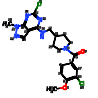 COc1ccc(C(=O)N2CCC(CNc3nc(Cl)nc4c3cnn4C)CC2)cc1Cl